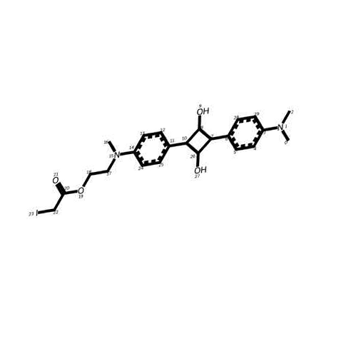 CN(C)c1ccc(C2C(O)C(c3ccc(N(C)CCOC(=O)CI)cc3)C2O)cc1